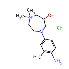 Cc1cc(N2CC[N+](C)(C)CC(O)C2)ccc1N.[Cl-]